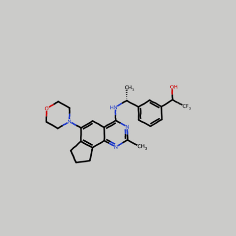 Cc1nc(N[C@H](C)c2cccc(C(O)C(F)(F)F)c2)c2cc(N3CCOCC3)c3c(c2n1)CCC3